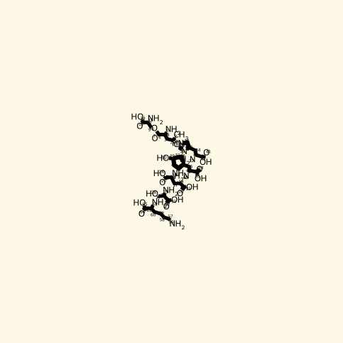 CC(C)CC(N)C(=O)OCC(N)C(=O)O.NC(CCC(=O)O)C(=O)O.NC(CO)C(=O)O.NC(Cc1c[nH]cn1)C(=O)O.NC(Cc1ccc(O)cc1)C(=O)O.NCCCCC(N)C(=O)O